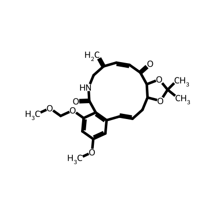 C=C1/C=C\C(=O)C2OC(C)(C)OC2C/C=C/c2cc(OC)cc(OCOC)c2C(=O)NC1